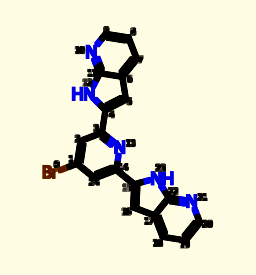 Brc1cc(-c2cc3cccnc3[nH]2)nc(-c2cc3cccnc3[nH]2)c1